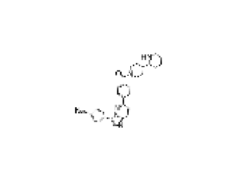 N#Cc1ccc(-c2cnc3ccc(-c4ccc(C(=O)N5CCC(C6CCCCN6)CC5)cc4)nn23)cc1